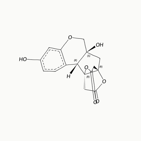 O=C1C[C@]23OC(=O)C[C@@]2(C[C@@]2(O)COc4cc(O)ccc4[C@H]23)O1